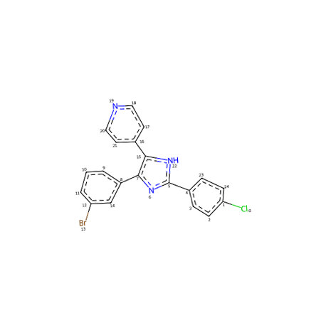 Clc1ccc(-c2nc(-c3cccc(Br)c3)c(-c3ccncc3)[nH]2)cc1